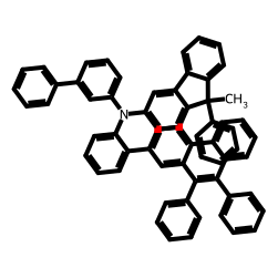 CC1(c2ccccc2)c2ccccc2-c2cc(N(c3cccc(-c4ccccc4)c3)c3ccccc3-c3ccc4c(c3)c(-c3ccccc3)c(-c3ccccc3)c3ccccc34)ccc21